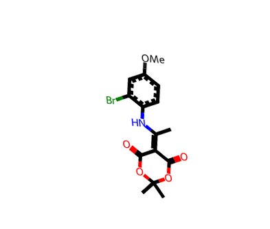 COc1ccc(NC(C)=C2C(=O)OC(C)(C)OC2=O)c(Br)c1